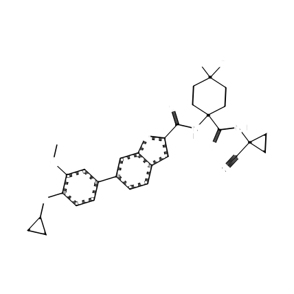 COc1cc(-c2ccc3cc(C(=O)NC4(C(=O)NC5(C#N)CC5)CCC(F)(F)CC4)oc3c2)ccc1SC1CC1